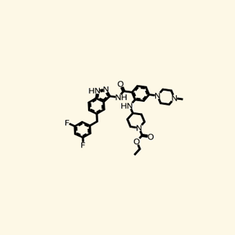 CCOC(=O)N1CCC(Nc2cc(N3CCN(C)CC3)ccc2C(=O)Nc2n[nH]c3ccc(Cc4cc(F)cc(F)c4)cc23)CC1